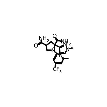 Cc1cc(C(F)(F)F)cc(N2CC(C(N)=O)CC2(C(N)=O)c2ccn(C)n2)n1